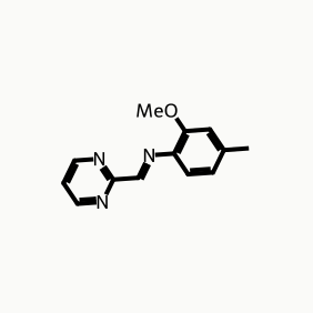 COc1cc(C)ccc1/N=C/c1ncccn1